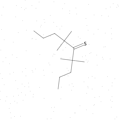 CCCC(C)(C)C(=S)C(C)(C)CCC